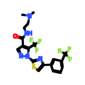 CN(C)CCNC(=O)c1cnn(-c2nc(-c3cccc(C(F)(F)F)c3)cs2)c1C(F)(F)F